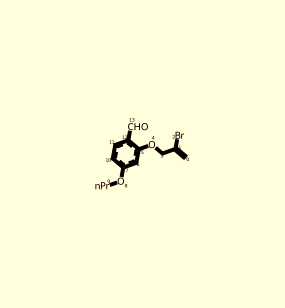 C=C(Br)COc1cc(OCCC)ccc1C=O